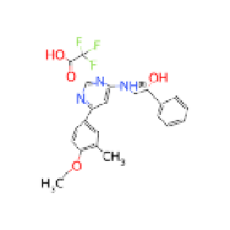 CCOc1ccc(-c2cc(NC[C@H](O)c3ccccc3)ncn2)cc1C.O=C(O)C(F)(F)F